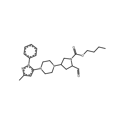 CCCCOC(=O)N1CC(N2CCN(c3cc(C)nn3-c3ccccc3)CC2)CC1[C]=O